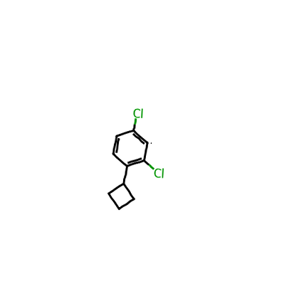 Clc1[c]c(Cl)c(C2CCC2)cc1